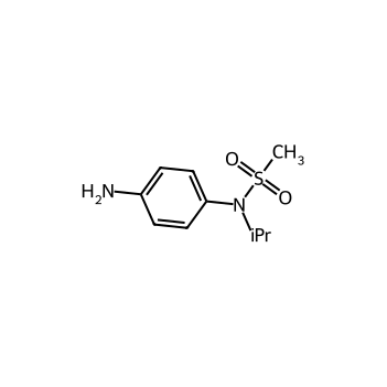 CC(C)N(c1ccc(N)cc1)S(C)(=O)=O